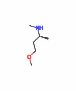 CN[C@@H](C)CCOC